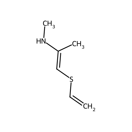 C=CS/C=C(\C)NC